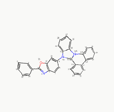 c1ccc(-c2nc3ccc(N4B5c6ccccc6-c6ccccc6N5c5ccccc54)cc3o2)cc1